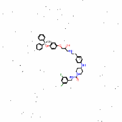 CC(C)(C)[Si](Oc1ccc(OC[C@@H](O)CNCCc2ccc(NC3CCN(C(=O)NCc4cc(F)cc(F)c4)CC3)cc2)cc1)(c1ccccc1)c1ccccc1